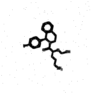 NCCC[C@H](OCO)C(=O)N1CCc2ccccc2[C@@H]1c1ccc(F)cc1